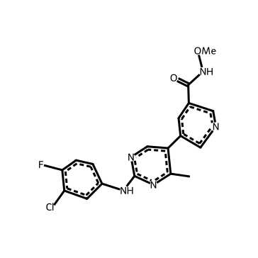 CONC(=O)c1cncc(-c2cnc(Nc3ccc(F)c(Cl)c3)nc2C)c1